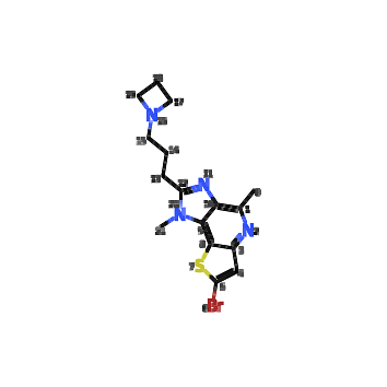 Cc1nc2cc(Br)sc2c2c1nc(CCCN1CCC1)n2C